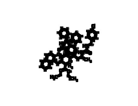 CCOC(OCC)C(C)N(Cc1cccc2ccccc12)C(=O)C(CC(=O)NC(c1ccccc1)(c1ccccc1)c1ccccc1)NC(=O)CN(C)NC(=O)NCc1ccc(Cl)cc1